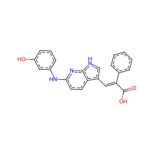 O=C(O)/C(=C/c1c[nH]c2nc(Nc3cccc(O)c3)ccc12)c1ccccc1